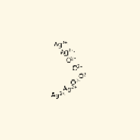 [Ag+2].[Ag+2].[Ag+2].[Ag+2].[O-2].[O-2].[O-2].[O-2]